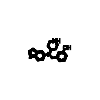 Oc1cccc(CN(c2ccc3sccc3c2)C2CCNCC2)c1